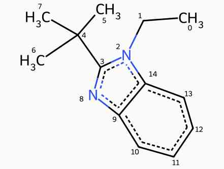 CCn1c(C(C)(C)C)nc2ccccc21